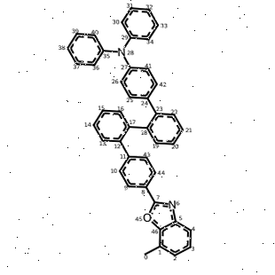 Cc1cccc2nc(-c3ccc(-c4ccccc4-c4ccccc4-c4ccc(N(c5ccccc5)c5ccccc5)cc4)cc3)oc12